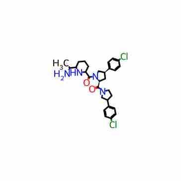 CC(N)C1CCCC(C(=O)N2C[C@@H](c3ccc(Cl)cc3)C[C@H]2C(=O)N2CCC(c3ccc(Cl)cc3)C2)N1